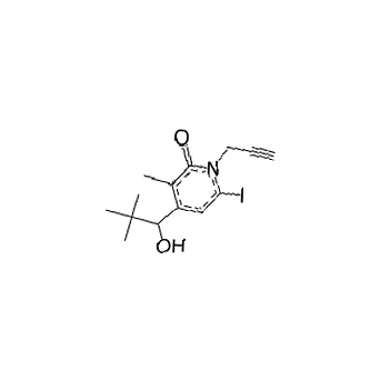 C#CCn1c(I)cc(C(O)C(C)(C)C)c(C)c1=O